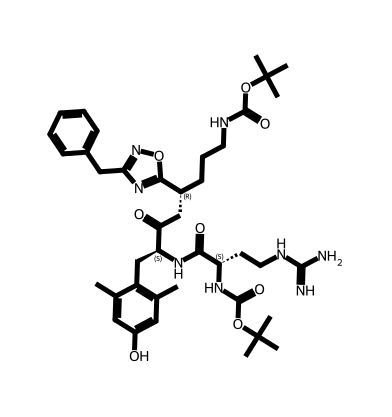 Cc1cc(O)cc(C)c1C[C@H](NC(=O)[C@H](CCNC(=N)N)NC(=O)OC(C)(C)C)C(=O)C[C@@H](CCCNC(=O)OC(C)(C)C)c1nc(Cc2ccccc2)no1